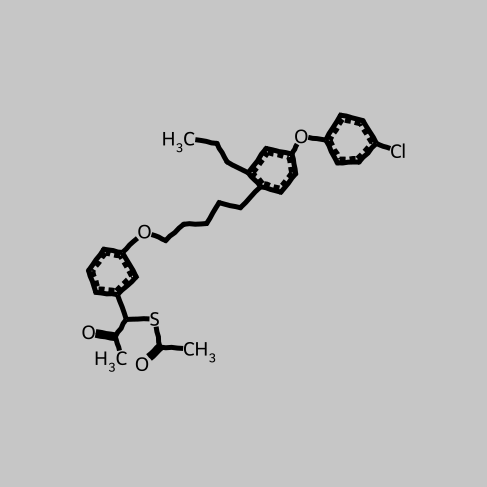 CCCc1cc(Oc2ccc(Cl)cc2)ccc1CCCCCOc1cccc(C(SC(C)=O)C(C)=O)c1